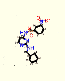 O=[N+]([O-])c1cccc(S(=O)(=O)Nc2ccnc(NCc3ccccc3)n2)c1